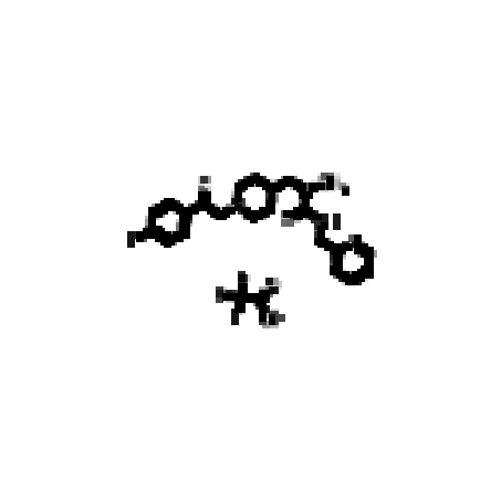 CN(CC1CCN(CC(=O)c2ccc(F)cc2)CC1)C(=O)NCc1ccccn1.O=C(O)C(F)(F)F